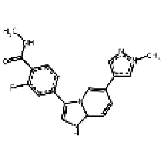 CNC(=O)c1ccc(C2=CNC3C=CC(c4cnn(C)c4)=CN23)cc1F